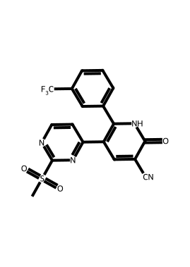 CS(=O)(=O)c1nccc(-c2cc(C#N)c(=O)[nH]c2-c2cccc(C(F)(F)F)c2)n1